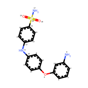 Nc1cccc(Oc2ccc(Nc3ccc(S(N)(=O)=O)cc3)cc2)c1